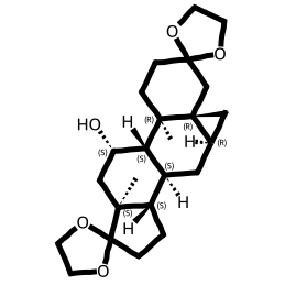 C[C@]12C[C@H](O)[C@H]3[C@@H](C[C@@H]4C[C@@]45CC4(CC[C@]35C)OCCO4)[C@@H]1CCC21OCCO1